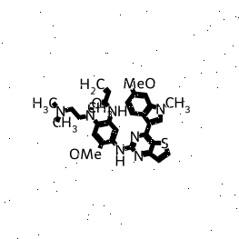 C=CC(=O)Nc1cc(Nc2nc(-c3cn(C)c4cc(OC)ccc34)c3sccc3n2)c(OC)cc1N(C)CCN(C)C